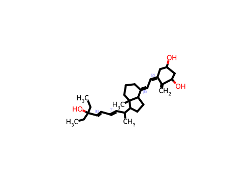 C=C1/C(=C\C=C2/CCCC3(C)C2CCC3C(C)/C=C/C=C/C(O)(CC)CC)CC(O)CC1O